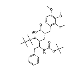 COc1ccc(CC(CC(O[Si](C)(C)C(C)(C)C)C(Cc2ccccc2)NC(=O)OC(C)(C)C)C(=O)O)c(OC)c1OC